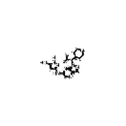 Oc1cc(Nc2cnc3cnn([C@@H](C(F)F)C4CCOCC4)c3n2)n[nH]1